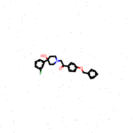 O=C(CN1CCC(O)(c2cccc(F)c2)CC1)c1ccc(OCc2ccccc2)cc1